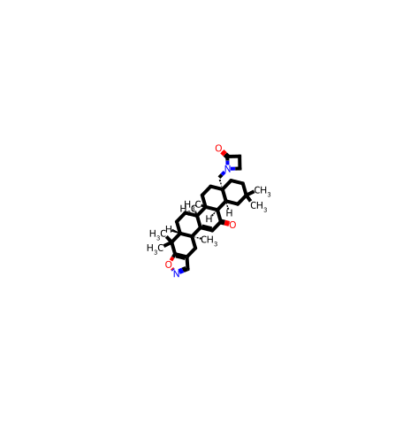 CC1(C)CC[C@]2(CN3CCC3=O)CC[C@]3(C)[C@H](C(=O)C=C4[C@@]5(C)Cc6cnoc6C(C)(C)[C@@H]5CC[C@]43C)[C@@H]2C1